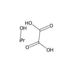 CC(C)O.O=C(O)C(=O)O